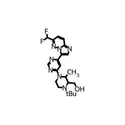 CC1C(CO)N(C(C)(C)C)CCN1c1cc(-c2cnc3ccc(C(F)F)nn23)ncn1